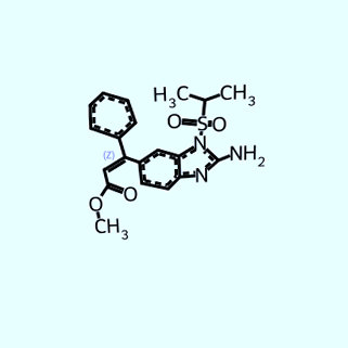 COC(=O)/C=C(/c1ccccc1)c1ccc2nc(N)n(S(=O)(=O)C(C)C)c2c1